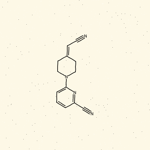 N#CC=C1CCN(c2cccc(C#N)n2)CC1